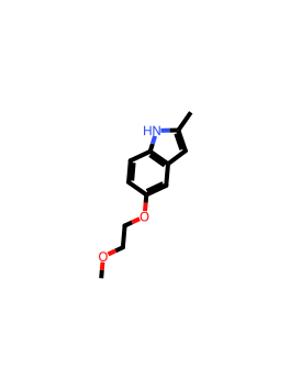 COCCOc1ccc2[nH]c(C)cc2c1